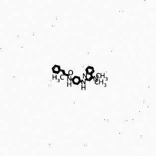 C/C(=C\c1ccccc1)C(=O)NC1CCC(Nc2cc(N(C)C)c3ccccc3n2)CC1